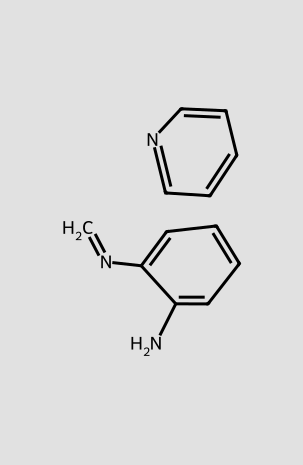 C=Nc1ccccc1N.c1ccncc1